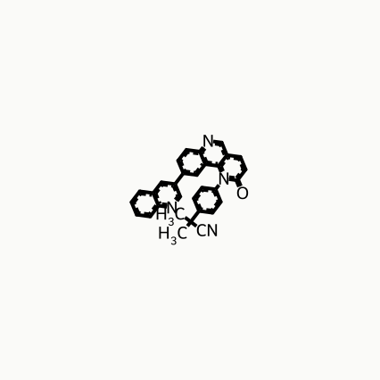 CC(C)(C#N)c1ccc(-n2c(=O)ccc3cnc4ccc(-c5cnc6ccccc6c5)cc4c32)cc1